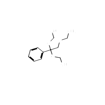 CCOCC(OCC)(OCC)c1ccccc1